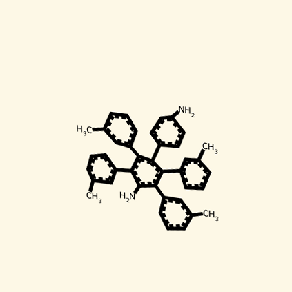 Cc1cccc(-c2c(N)c(-c3cccc(C)c3)c(-c3cccc(C)c3)c(-c3ccc(N)cc3)c2-c2cccc(C)c2)c1